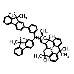 C=C/C(=C\C1=C2CC(C)(C)c3cccc4c3N2c2c(cccc2C4(C)C)C1(C)C)N(c1cccc(-c2ccc3c(c2)C(C)(C)c2ccccc2-3)c1)c1ccc2c(c1)C(C)(C)c1ccccc1-2